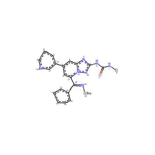 CCNC(=O)Nc1nc2cc(-c3cccnc3)cc(C(=NOC)c3ccccc3)n2n1